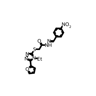 CCn1c(SCC(=O)N/N=C/c2ccc([N+](=O)[O-])cc2)nnc1-c1ccco1